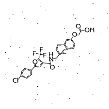 O=C(O)COc1ccc2cc(CNC(=O)c3cc(-c4ccc(Cl)cc4)oc3C(F)(F)F)ccc2c1